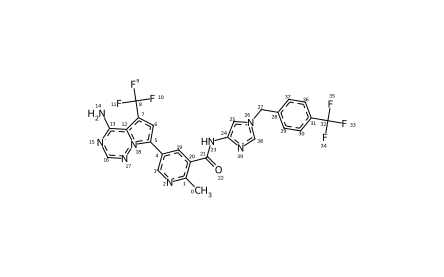 Cc1ncc(-c2cc(C(F)(F)F)c3c(N)ncnn23)cc1C(=O)Nc1cn(Cc2ccc(C(F)(F)F)cc2)cn1